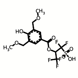 COCc1cc(C(=O)OC(C(F)(F)F)C(F)(F)S(=O)(=O)O)cc(COC)c1O